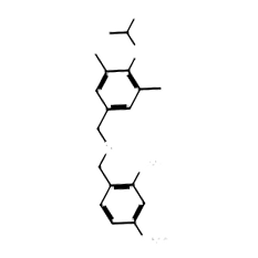 COc1ccc(CNCc2cc(C)c(OC(F)F)c(C)c2)c(OC)c1